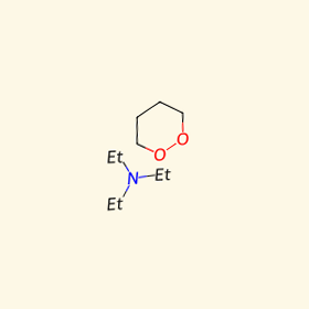 C1CCOOC1.CCN(CC)CC